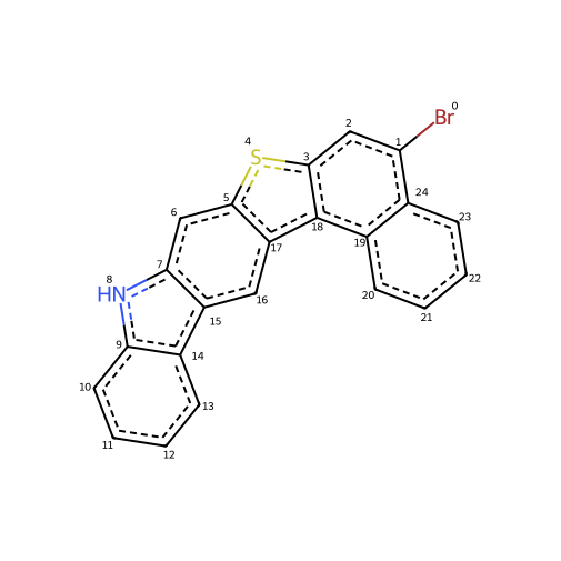 Brc1cc2sc3cc4[nH]c5ccccc5c4cc3c2c2ccccc12